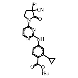 CC(C)C1(C#N)CCN(c2ccnc(Nc3ccc(C(=O)OC(C)(C)C)c(C4CC4)c3)n2)C1=O